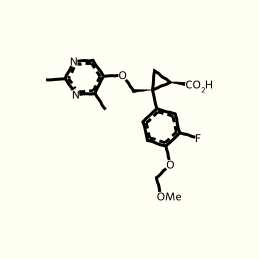 COCOc1ccc([C@]2(COc3cnc(C)nc3C)C[C@H]2C(=O)O)cc1F